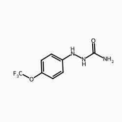 NC(=O)NNc1ccc(OC(F)(F)F)cc1